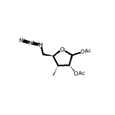 CC(=O)OC1O[C@H](CN=[N+]=[N-])[C@@H](C)[C@H]1OC(C)=O